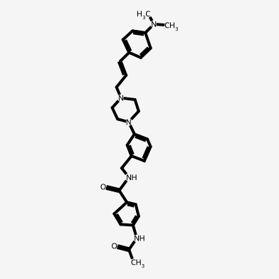 CC(=O)Nc1ccc(C(=O)NCc2cccc(N3CCN(CC=Cc4ccc(N(C)C)cc4)CC3)c2)cc1